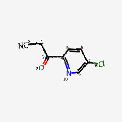 N#CCC(=O)c1ccc(Cl)cn1